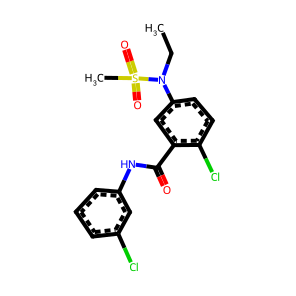 CCN(c1ccc(Cl)c(C(=O)Nc2cccc(Cl)c2)c1)S(C)(=O)=O